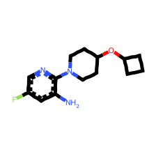 Nc1cc(F)cnc1N1CCC(OC2CCC2)CC1